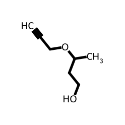 C#CCOC(C)CCO